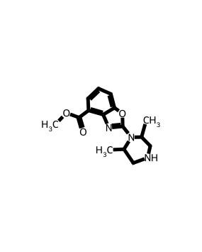 COC(=O)c1cccc2oc(N3C(C)CNCC3C)nc12